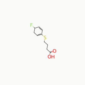 O=C(O)CCCSC1=CCC(F)C=C1